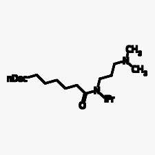 CCCCCCCCCCCCCCCC(=O)N(CCCN(C)C)C(C)C